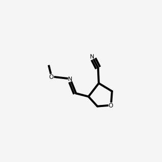 CO/N=C/C1COCC1C#N